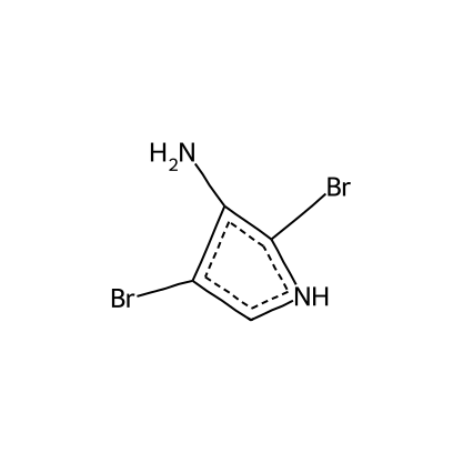 Nc1c(Br)c[nH]c1Br